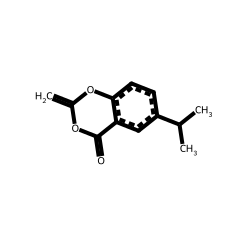 C=C1OC(=O)c2cc(C(C)C)ccc2O1